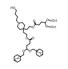 CCCCCCCCOC(CCC(=O)OCCC1(CCOC(=O)CCC(OCC23CCC(CC2)CC3)OCC23CCC(CC2)CC3)CCN(CCCCO)CC1)OCCCCCCCC